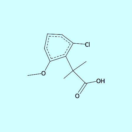 COc1cccc(Cl)c1C(C)(C)C(=O)O